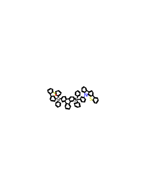 c1ccc([Si](c2ccccc2)(c2cccc(-n3c4ccccc4c4ccc5c6ccccc6sc5c43)c2)c2ccc3c4ccc([Si](c5ccccc5)(c5ccccc5)c5cccc6c5sc5ccccc56)cc4c4ccccc4c3c2)cc1